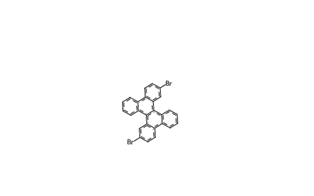 Brc1ccc2c3ccccc3c3c4cc(Br)ccc4c4ccccc4c3c2c1